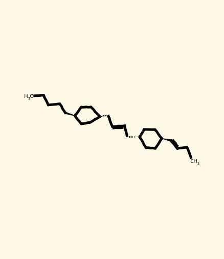 CCC=C[C@H]1CC[C@H](CC=CC[C@H]2CC[C@H](CCCCC)CC2)CC1